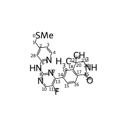 CSCc1ccnc(Nc2ncc(F)c(-c3ccc4c(c3)C(C)(C)CNC4=O)n2)c1